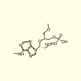 CNc1ncnc2c1ncn2[C@@H](CO)O[C@@H](COC)COP(=O)(O)O